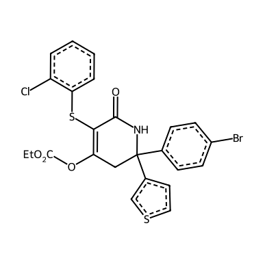 CCOC(=O)OC1=C(Sc2ccccc2Cl)C(=O)NC(c2ccc(Br)cc2)(c2ccsc2)C1